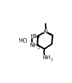 CC(C)(C)N.CN1CCC(N)CC1.Cl